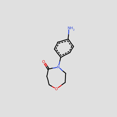 Nc1ccc(N2CCOCCC2=O)cc1